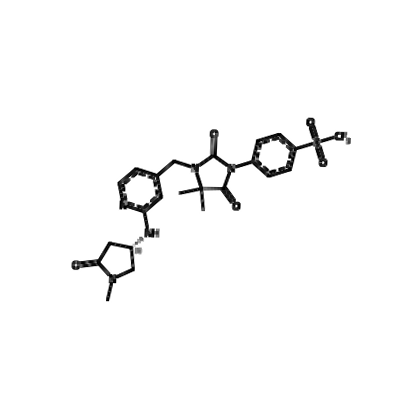 CN1C[C@@H](Nc2cc(CN3C(=O)N(c4ccc(S(=O)(=O)C(F)(F)F)cc4)C(=O)C3(C)C)ccn2)CC1=O